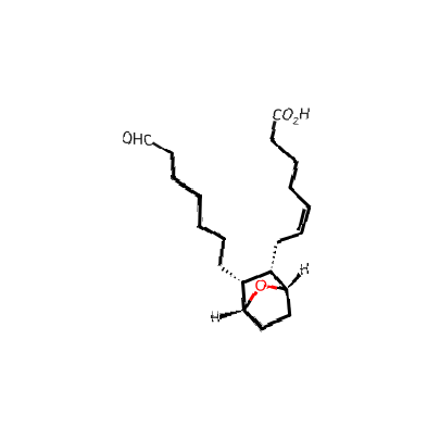 O=CCCCCCC[C@@H]1[C@H](C/C=C\CCCC(=O)O)[C@@H]2CC[C@H]1O2